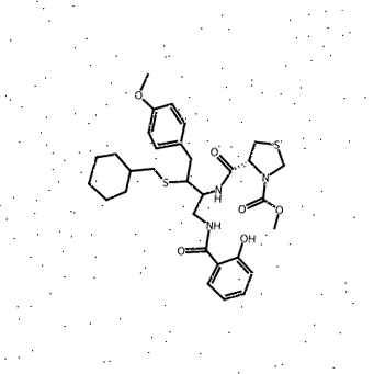 COC(=O)N1CSC[C@H]1C(=O)NC(CNC(=O)c1ccccc1O)C(Cc1ccc(OC)cc1)SCC1CCCCC1